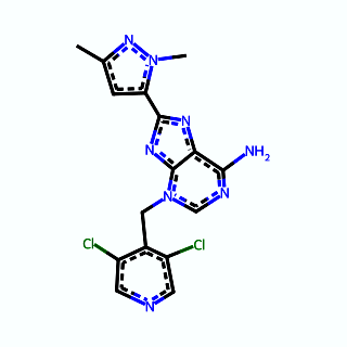 Cc1cc(-c2nc3c(N)ncn(Cc4c(Cl)cncc4Cl)c-3n2)n(C)n1